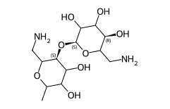 CC1OC(CN)[C@@H](O[C@@H]2OC(CN)[C@H](O)C(O)C2O)C(O)C1O